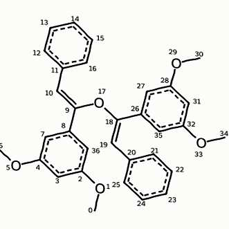 COc1cc(OC)cc(C(=Cc2ccccc2)OC(=Cc2ccccc2)c2cc(OC)cc(OC)c2)c1